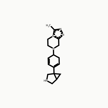 Cc1nnc2n1CCN(C1C=CC(C34CNCC3C4)=CC1)C2